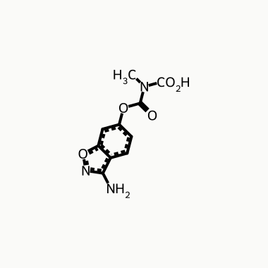 CN(C(=O)O)C(=O)Oc1ccc2c(N)noc2c1